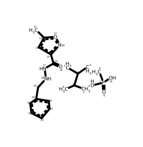 CC(C)C(C)C.CP(=O)(O)O.Cc1cc(C(=O)NNCc2ccccc2)no1